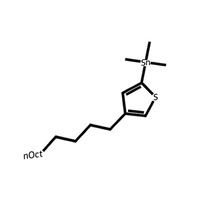 CCCCCCCCCCCCc1cs[c]([Sn]([CH3])([CH3])[CH3])c1